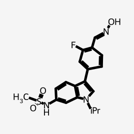 CC(C)n1cc(-c2ccc(C=NO)c(F)c2)c2ccc(NS(C)(=O)=O)cc21